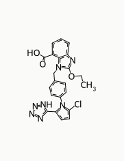 CCOc1nc2cccc(C(=O)O)c2n1Cc1ccc(-n2c(Cl)ccc2-c2nnn[nH]2)cc1